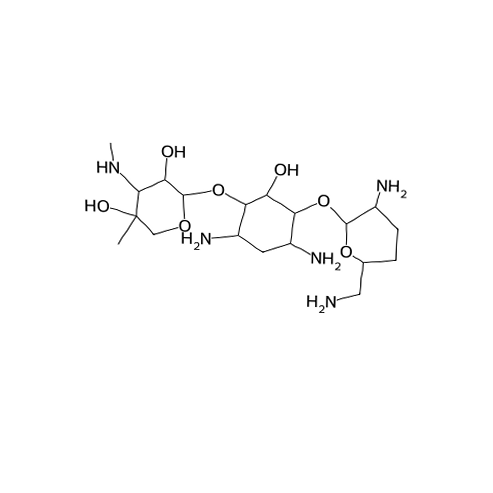 CNC1C(O)C(OC2C(N)CC(N)C(OC3OC(CN)CCC3N)C2O)OCC1(C)O